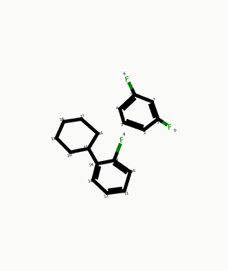 Fc1cccc(F)c1.Fc1ccccc1C1CCCCC1